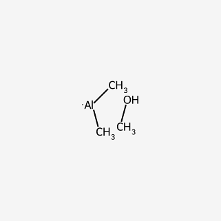 CO.[CH3][Al][CH3]